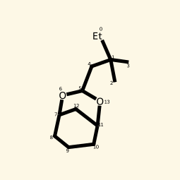 [CH2]CC(C)(C)C[C]1OC2CCCC(C2)O1